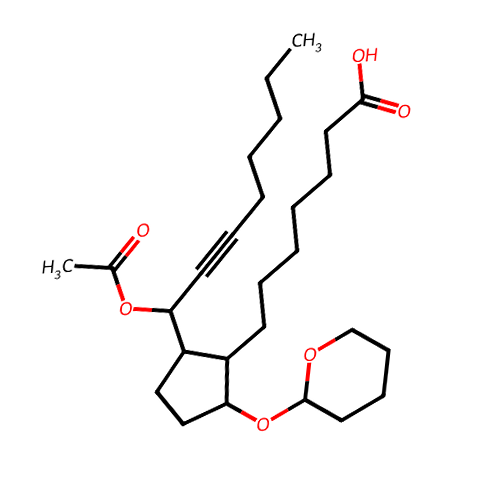 CCCCCC#CC(OC(C)=O)C1CCC(OC2CCCCO2)C1CCCCCCC(=O)O